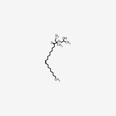 CCCCCCCC/C=C\CCCCCCCC(=O)C(C)(CC)OCC(C)O